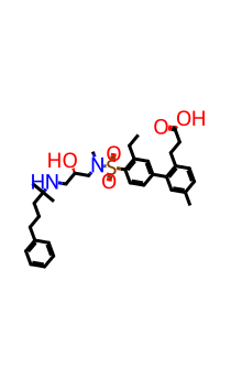 CCc1cc(-c2cc(C)ccc2CCC(=O)O)ccc1S(=O)(=O)N(C)C[C@H](O)CNC(C)(C)CCCc1ccccc1